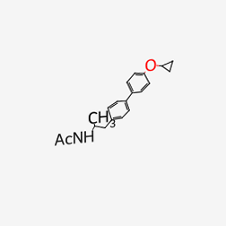 CC(=O)NC(C)Cc1ccc(-c2ccc(OC3CC3)cc2)cc1